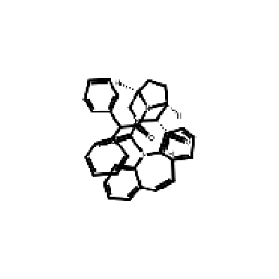 O=C(O)[C@H]1[C@@H]2CC[C@H](CN1C(=O)N1c3ccccc3C=Cc3ccccc31)N2C(=O)C(c1ccccc1)c1ccccc1